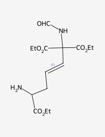 CCOC(=O)C(N)C/C=C/C(NC=O)(C(=O)OCC)C(=O)OCC